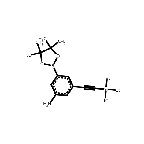 CC[Si](C#Cc1cc(N)cc(B2OC(C)(C)C(C)(C)O2)c1)(CC)CC